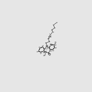 CCCCCCN=CCCN1c2ccccc2N(C)C(=O)c2ccc(C)nc21